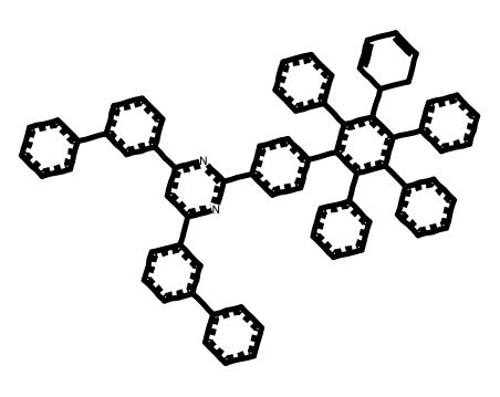 C1=CCC(c2c(-c3ccccc3)c(-c3ccccc3)c(-c3ccccc3)c(-c3ccc(-c4nc(-c5cccc(-c6ccccc6)c5)cc(-c5cccc(-c6ccccc6)c5)n4)cc3)c2-c2ccccc2)C=C1